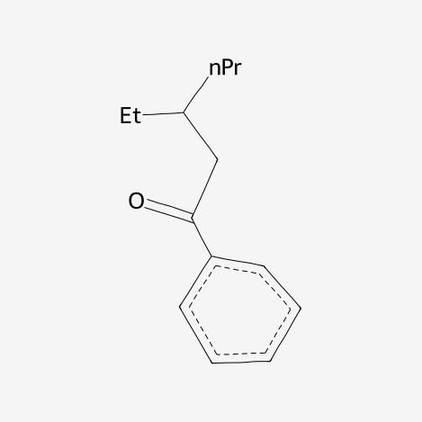 CCCC(CC)CC(=O)c1ccccc1